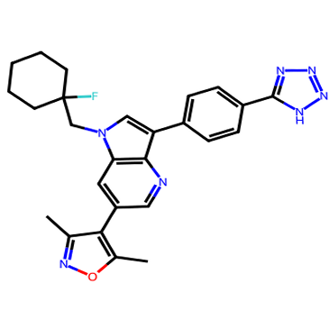 Cc1noc(C)c1-c1cnc2c(-c3ccc(-c4nnn[nH]4)cc3)cn(CC3(F)CCCCC3)c2c1